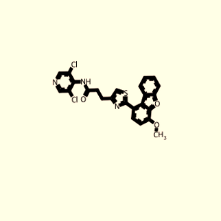 COc1ccc(-c2nc(CCC(=O)Nc3c(Cl)cncc3Cl)cs2)c2c1oc1ccccc12